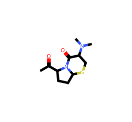 CC(=O)C1CCC2SCC(N(C)C)C(=O)N21